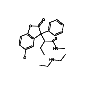 CCC(C(=O)NC)C1(c2ccccc2)C(=O)Oc2ccc(Cl)cc21.CCNCC